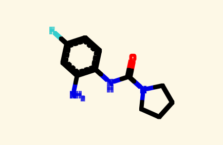 Nc1cc(F)ccc1NC(=O)N1CCCC1